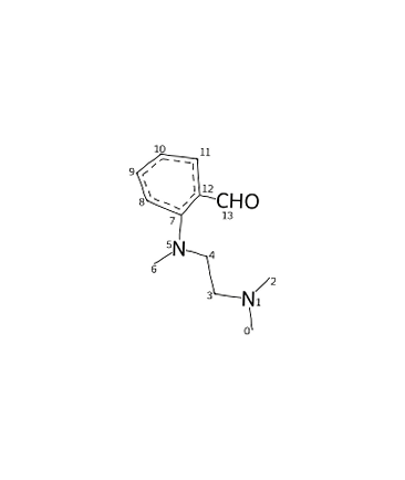 CN(C)CCN(C)c1ccccc1C=O